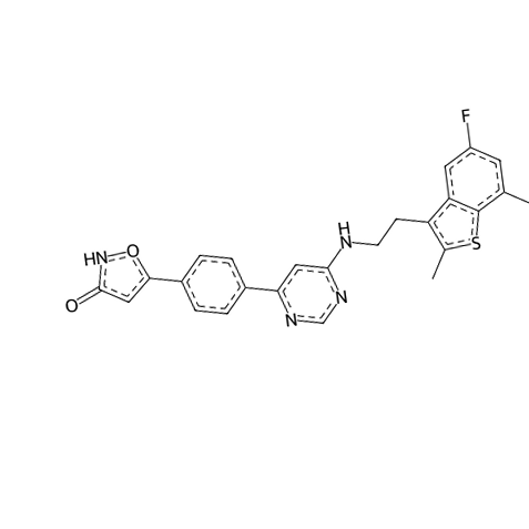 Cc1sc2c(C)cc(F)cc2c1CCNc1cc(-c2ccc(-c3cc(=O)[nH]o3)cc2)ncn1